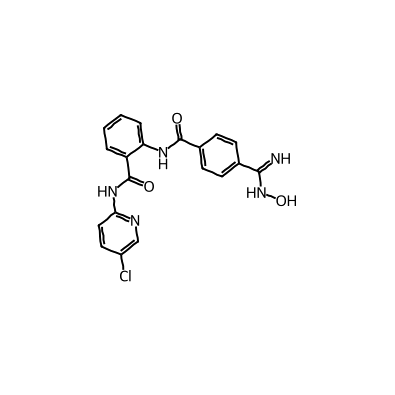 N=C(NO)c1ccc(C(=O)Nc2ccccc2C(=O)Nc2ccc(Cl)cn2)cc1